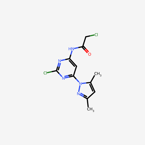 Cc1cc(C)n(-c2cc(NC(=O)CCl)nc(Cl)n2)n1